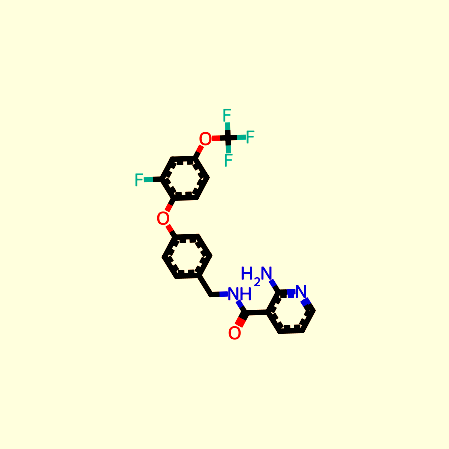 Nc1ncccc1C(=O)NCc1ccc(Oc2ccc(OC(F)(F)F)cc2F)cc1